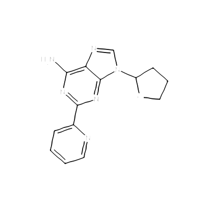 Nc1nc(-c2ccccn2)nc2c1ncn2C1CCCO1